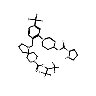 O=C(OC1CCN(c2cc(C(F)(F)F)ccc2CN2CCCC23CCN(C(=O)OC(C(F)(F)F)C(F)(F)F)CC3)CC1)[C@H]1CCCN1